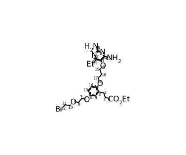 CCOC(=O)CCc1cc(OCCOCCBr)ccc1OCCCOc1c(N)nc(N)nc1CC